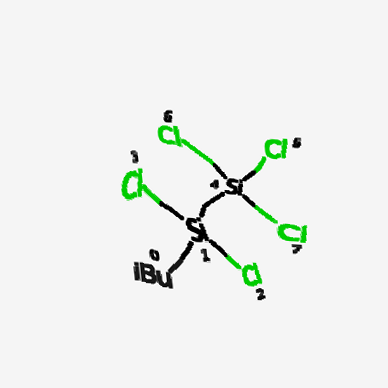 CCC(C)[Si](Cl)(Cl)[Si](Cl)(Cl)Cl